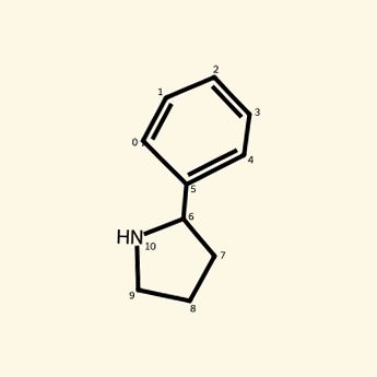 [c]1ccccc1C1CCCN1